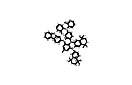 Cc1cc2c3c(c1)N(c1ccc4c(c1)C(C)(C)CCC4(C)C)c1cc4c(cc1B3c1ccc(N(c3ccccc3C)c3ccccc3C)cc1N2c1ccc2c(c1)sc1ccccc12)C(C)(C)CCC4(C)C